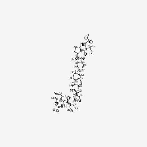 COC(=O)N[C@H](C(=O)N1CCC[C@H]1c1nc2ccc(-c3ccc4c(c3)sc3cc(-c5cnc([C@@H]6CCCN6C(=O)[C@H](NC(=O)OC)c6ccccc6)[nH]5)ccc34)cc2[nH]1)C(C)C